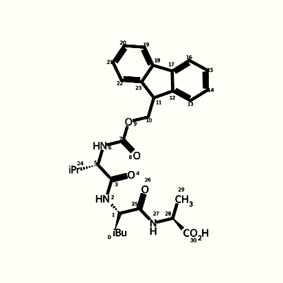 CC[C@H](C)[C@H](NC(=O)[C@@H](NC(=O)OCC1c2ccccc2-c2ccccc21)C(C)C)C(=O)N[C@@H](C)C(=O)O